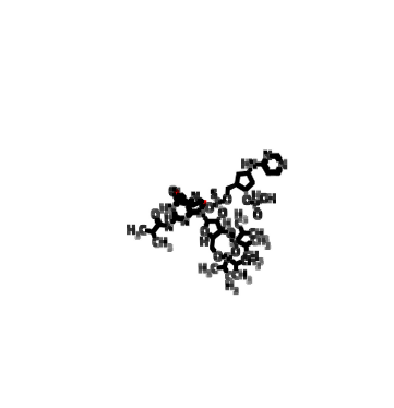 CC(C)C(=O)Nc1nc2c(ncn2[C@@H]2O[C@@H]3CO[Si](C(C)C)(C(C)C)O[Si](C(C)C)(C(C)C)O[C@H]3[C@H]2OP(=S)(OCCC#N)OC[C@H]2C[C@@H](Nc3ccncn3)C[C@@H]2O[PH](=O)O)c(=O)[nH]1